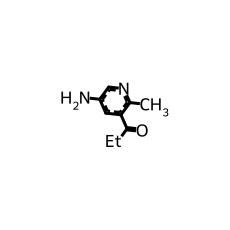 CCC(=O)c1cc(N)cnc1C